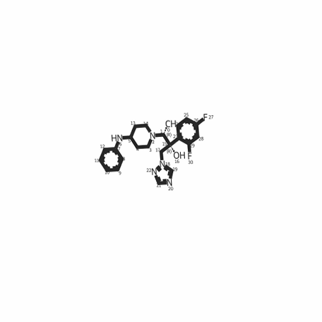 C[C@@H](N1CCC(Nc2ccccc2)CC1)[C@](O)(Cn1cncn1)c1ccc(F)cc1F